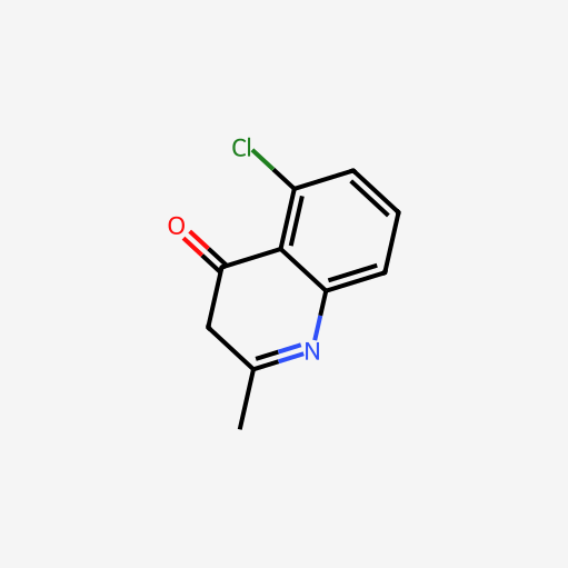 CC1=Nc2cccc(Cl)c2C(=O)C1